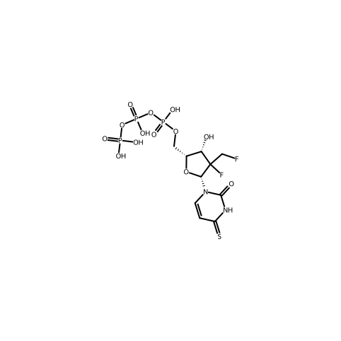 O=c1[nH]c(=S)ccn1[C@@H]1O[C@H](COP(=O)(O)OP(=O)(O)OP(=O)(O)O)[C@H](O)C1(F)CF